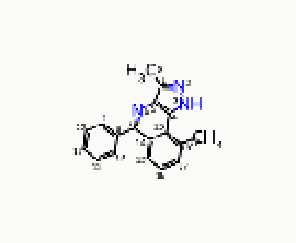 Cc1n[nH]c2c1nc(-c1ccccc1)c1cccc(C)c12